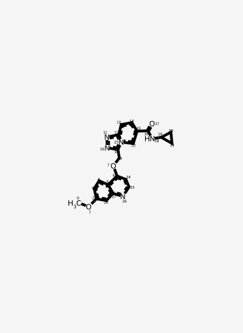 COc1ccc2c(OCc3nnc4ccc(C(=O)NC5CC5)cn34)ccnc2c1